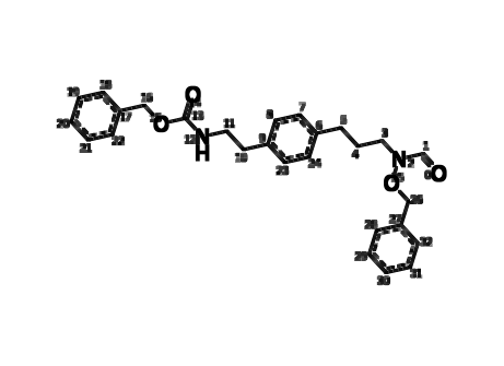 O=CN(CCCc1ccc(CCNC(=O)OCc2ccccc2)cc1)OCc1ccccc1